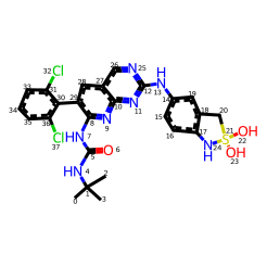 CC(C)(C)NC(=O)Nc1nc2nc(Nc3ccc4c(c3)CS(O)(O)N4)ncc2cc1-c1c(Cl)cccc1Cl